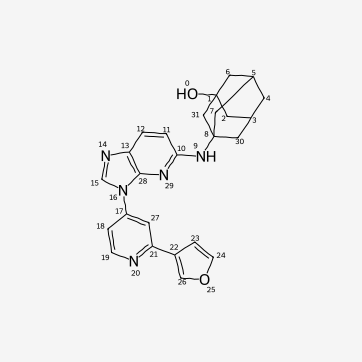 OC12CC3CC(C1)CC(Nc1ccc4ncn(-c5ccnc(-c6ccoc6)c5)c4n1)(C3)C2